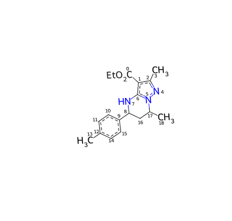 CCOC(=O)c1c(C)nn2c1NC(c1ccc(C)cc1)CC2C